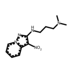 CN(C)CCCNc1nn2ccccc2c1[N+](=O)[O-]